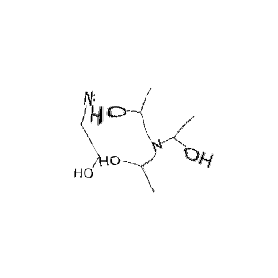 CC(O)N(C(C)O)C(C)O.[N]CCO